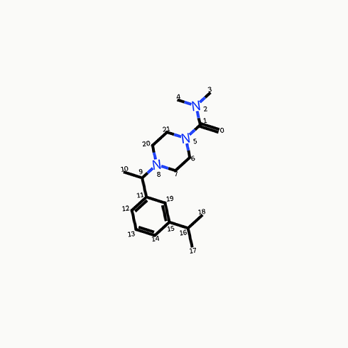 C=C(N(C)C)N1CCN(C(C)c2cccc(C(C)C)c2)CC1